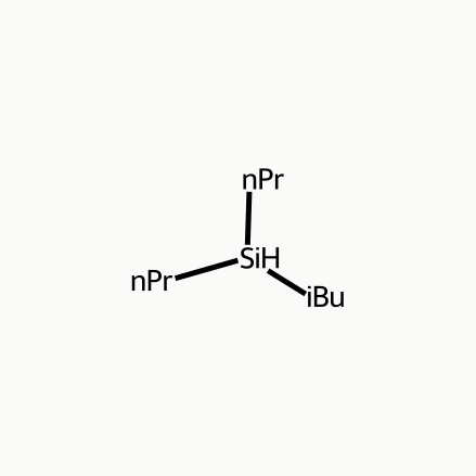 CCC[SiH](CCC)C(C)CC